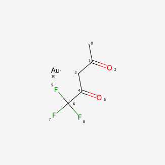 CC(=O)CC(=O)C(F)(F)F.[Au]